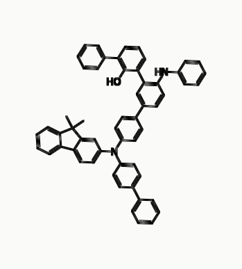 CC1(C)c2ccccc2-c2ccc(N(c3ccc(-c4ccccc4)cc3)c3ccc(-c4ccc(Nc5ccccc5)c(-c5cccc(-c6ccccc6)c5O)c4)cc3)cc21